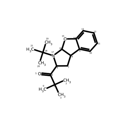 CC(C)(C)C(=O)C1CC2c3ccccc3OC2N1C(C)(C)C